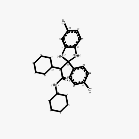 O=C(NC1CCCCC1)C(C1CCCCC1)C1(c2ccc(Cl)cc2)Nc2ccc(Cl)cc2N1